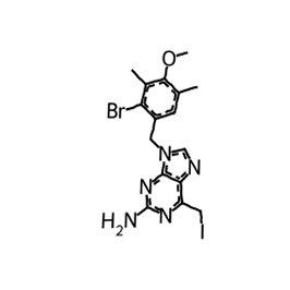 COc1c(C)cc(Cn2cnc3c(CI)nc(N)nc32)c(Br)c1C